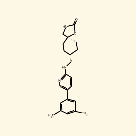 Cc1cc(C)cc(-c2ccc(NC[C@H]3CC[C@]4(CC3)CNC(=O)O4)nn2)c1